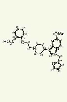 COc1ccc2c(c1)c(C1CCN(CCOc3ccccc3C(=O)O)CC1)cn2Cc1ccco1